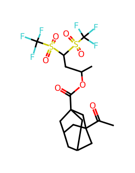 CC(=O)C12CC3CC(C1)CC(C(=O)OC(C)CC(S(=O)(=O)C(F)(F)F)S(=O)(=O)C(F)(F)F)(C3)C2